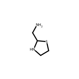 NCC1NCCS1